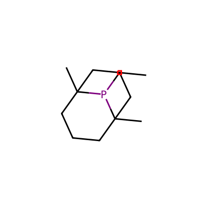 CCP1C2(C)CCCC1(C)CCC2